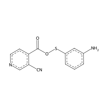 N#Cc1cnccc1C(=O)OSc1cccc(N)c1